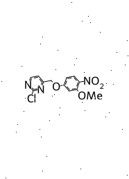 COc1cc(OCc2ccnc(Cl)n2)ccc1[N+](=O)[O-]